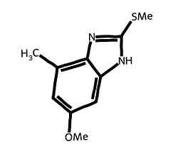 COc1cc(C)c2nc(SC)[nH]c2c1